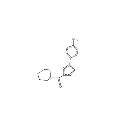 Nc1ccc(-c2ccc(C(=O)N3CCCCC3)o2)cc1